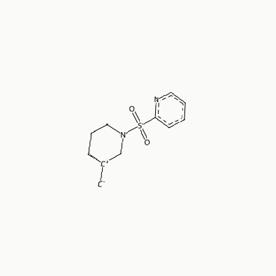 [CH2-][C+]1CCCN(S(=O)(=O)c2ccccn2)C1